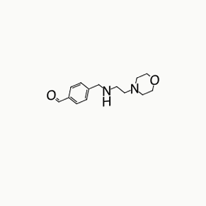 O=Cc1ccc(CNCCN2CCOCC2)cc1